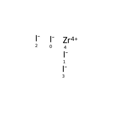 [I-].[I-].[I-].[I-].[Zr+4]